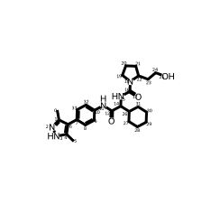 Cc1n[nH]c(C)c1-c1ccc(NC(=O)C(NC(=O)N2CCCC2CCO)C2CCCCC2)cc1